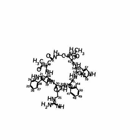 CC(=O)N[C@H]1CCNC(=O)C[C@@H](C(C)=O)NC(=O)[C@H](Cc2c[nH]c3ccccc23)NC(=O)[C@H](CCCNC(=N)N)NC(=O)[C@@H](Cc2ccccc2)NC(=O)[C@H](Cc2c[nH]cn2)NC1=O